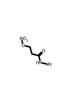 CC(C)NC(=O)CCO[N+](=O)[O-]